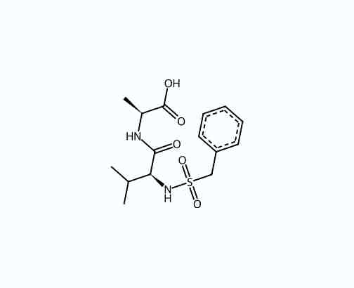 CC(C)[C@H](NS(=O)(=O)Cc1ccccc1)C(=O)N[C@@H](C)C(=O)O